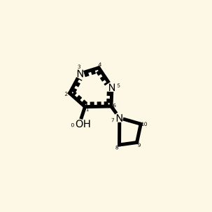 Oc1cn[c]nc1N1CCC1